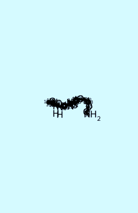 Cn1c(-c2ccc(NC(=O)Nc3cc(C(C)(C)C)on3)cc2)nc2sc3cc(OCCN4CC[C@@H](OCCON)C4)ccc3c21